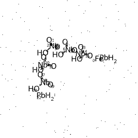 [Fe].[O]=[Nb](=[O])[OH].[O]=[Nb](=[O])[OH].[O]=[Nb](=[O])[OH].[O]=[Nb](=[O])[OH].[O]=[Nb](=[O])[OH].[PbH2].[PbH2]